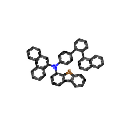 c1ccc(-c2cccc3ccccc23)c(-c2ccc(N(c3cc4ccccc4c4ccccc34)c3cccc4c3sc3ccccc34)cc2)c1